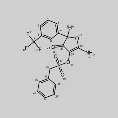 [2H]C1(c2cccc(C(F)(F)F)c2)OC(N)=C(OS(=O)(=O)Cc2ccccc2)C1=O